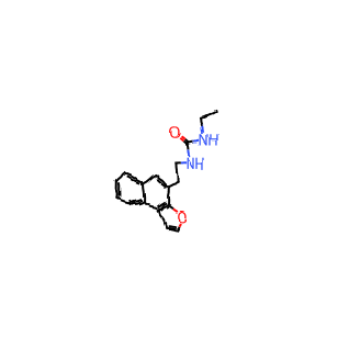 CCNC(=O)NCCc1cc2ccccc2c2ccoc12